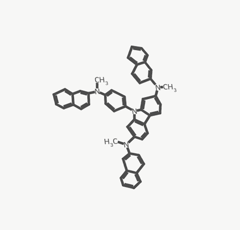 CN(c1ccc(-n2c3cc(N(C)c4ccc5ccccc5c4)ccc3c3ccc(N(C)c4ccc5ccccc5c4)cc32)cc1)c1ccc2ccccc2c1